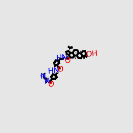 C=C(C)[C@@H]1CC[C@]2(C(=O)NCCc3cccc(C(=O)NCc4ccc(C(=O)N(C)CCN(C)C)cc4)c3)CC[C@]3(C)C(CCC4[C@@]5(C)CC[C@H](O)C(C)(C)C5CC[C@]43C)C12